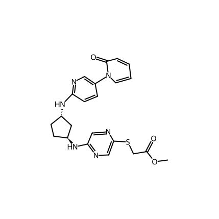 COC(=O)CSc1cnc(N[C@H]2CC[C@H](Nc3ccc(-n4ccccc4=O)cn3)C2)cn1